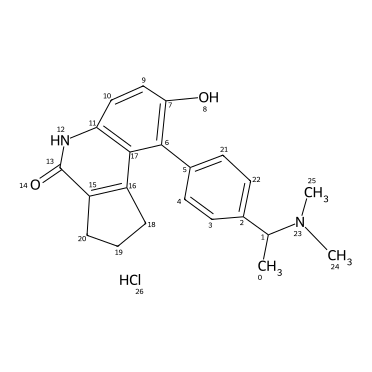 CC(c1ccc(-c2c(O)ccc3[nH]c(=O)c4c(c23)CCC4)cc1)N(C)C.Cl